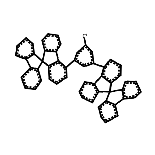 Clc1cc(-c2cccc3c2-c2ccccc2C32c3ccccc3-c3ccccc32)cc(-c2cccc3c2-c2ccccc2C32c3ccccc3-c3ccccc32)c1